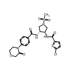 CS(=O)(=O)N1C[C@@H](NC(=O)c2ccc(N3CCOCC3=O)cc2)[C@H](NC(=O)c2ccc(Cl)s2)C1